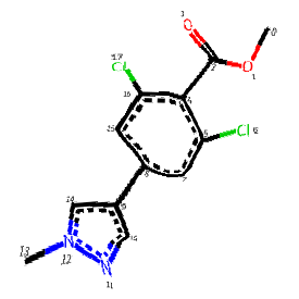 COC(=O)c1c(Cl)cc(-c2cnn(C)c2)cc1Cl